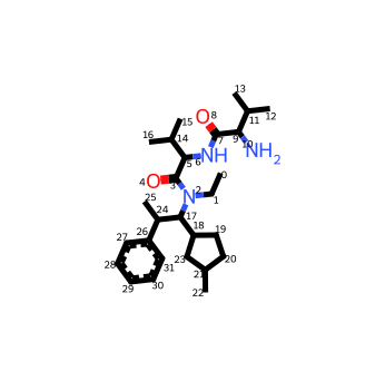 CCN(C(=O)C(NC(=O)C(N)C(C)C)C(C)C)C(C1CCC(C)C1)C(C)c1ccccc1